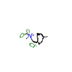 Cc1ccc(C[N+](C)(C)C(Cl)Cl)cc1.[Cl-]